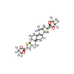 CC1(C)c2cc(B3OC(C)(C)C(C)(C)O3)sc2-c2ccc3c4c(ccc3c21)-c1sc(B2OC(C)(C)C(C)(C)O2)cc1C4(C)C